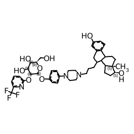 C[C@]12CCC3c4ccc(O)cc4CC(CCCN4CCN(c5ccc(O[C@H]6O[C@H](CO)[C@H](O)[C@H](O)[C@H]6Oc6cccc(C(F)(F)F)n6)cc5)CC4)C3C1CC[C@@H]2O